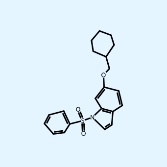 O=S(=O)(c1ccccc1)n1ccc2ccc(OCC3CCCCC3)cc21